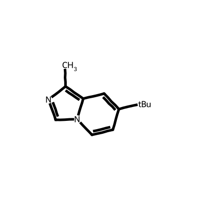 Cc1ncn2ccc(C(C)(C)C)cc12